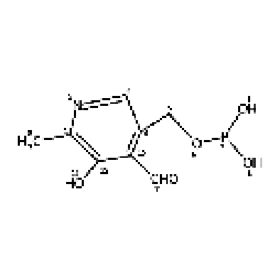 Cc1ncc(COP(O)O)c(C=O)c1O